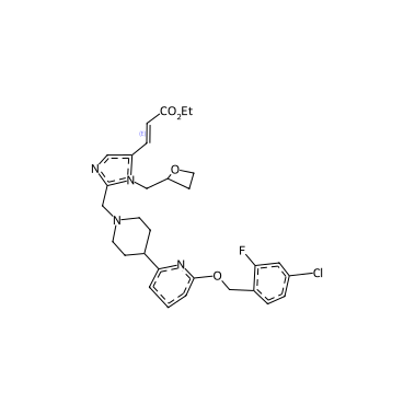 CCOC(=O)/C=C/c1cnc(CN2CCC(c3cccc(OCc4ccc(Cl)cc4F)n3)CC2)n1CC1CCO1